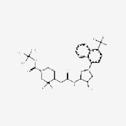 CC1CN(c2ccc(C(F)(F)F)c3ncccc23)CC1NC(=O)CC1CCN(C(=O)OC(C)(C)C)CC1(F)F